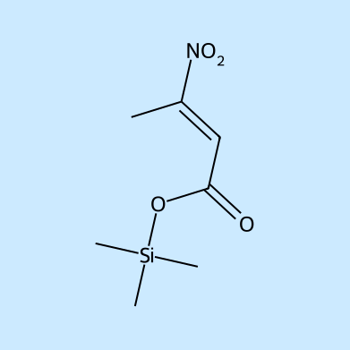 CC(=CC(=O)O[Si](C)(C)C)[N+](=O)[O-]